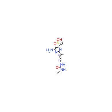 CCCNC(=O)N/C=C/C=C(\C)c1nc(N)cc(C2(S(=O)O)CC2)n1